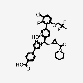 O=C(O)c1ccc(-c2cnn(C(C[C@@H]3C[C@H]3C(=O)N3CCCCC3)c3ccc(-c4c(OCC(F)(F)F)ccc(Cl)c4F)c[n+]3O)c2)cc1